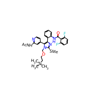 CSc1nc(-c2ccccc2NC(=O)c2c(F)cccc2F)c(-c2ccnc(NC(C)=O)c2)n1COCC[Si](C)(C)C